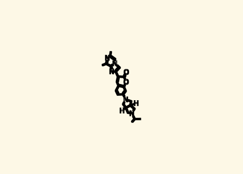 Cc1cn2cc(-c3cc4ccc(N5C[C@@H]6CN(C(C)C)C[C@@H]6C5)cc4oc3=O)nc2c(C)n1